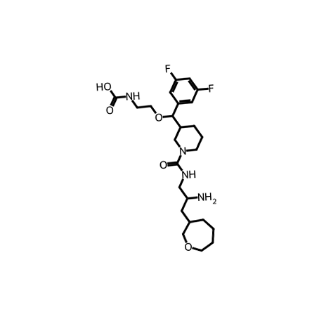 NC(CNC(=O)N1CCCC(C(OCCNC(=O)O)c2cc(F)cc(F)c2)C1)CC1CCCCOC1